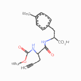 C#CCC(NC(=O)OC(C)(C)C)C(=O)NC(Cc1ccc(OC)cc1)C(=O)O